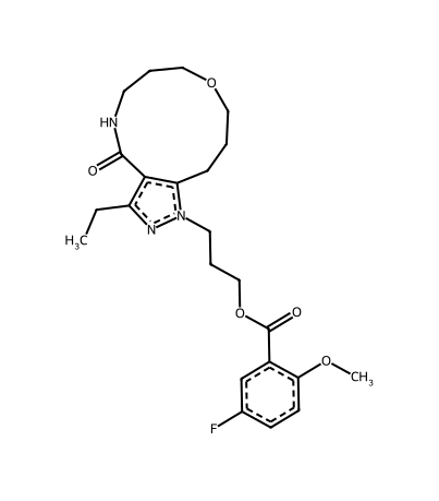 CCc1nn(CCCOC(=O)c2cc(F)ccc2OC)c2c1C(=O)NCCCOCCC2